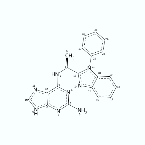 C[C@H](Nc1nc(N)nc2[nH]cnc12)c1nc2ccccc2n1-c1ccccc1